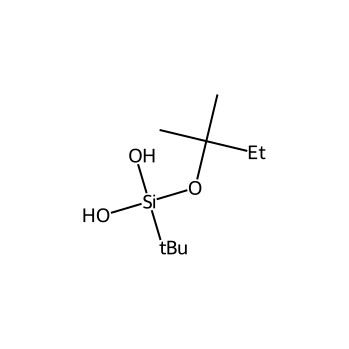 CCC(C)(C)O[Si](O)(O)C(C)(C)C